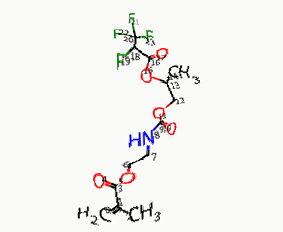 C=C(C)C(=O)OCCNC(=O)OCC(C)OC(=O)C(F)C(F)(F)F